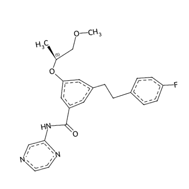 COC[C@H](C)Oc1cc(CCc2ccc(F)cc2)cc(C(=O)Nc2cnccn2)c1